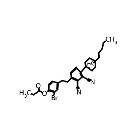 CCCCCC12CCC(c3ccc(CCc4ccc(OC(=O)CC)c(Br)c4)c(C#N)c3C#N)(CC1)CC2